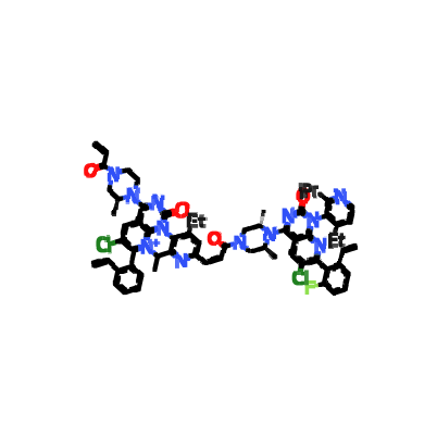 C=CC(=O)N1CCN(c2nc(=O)n3c4c2cc(Cl)c(-c2ccccc2C=C)[n+]4C(C)c2nc(/C=C\C(=O)N4C[C@H](C)N(c5nc(=O)n(-c6c(CC)ccnc6C(C)C)c6nc(-c7c(F)cccc7C=C)c(Cl)cc56)[C@@H](C)C4)cc(CC)c2-3)[C@@H](C)C1